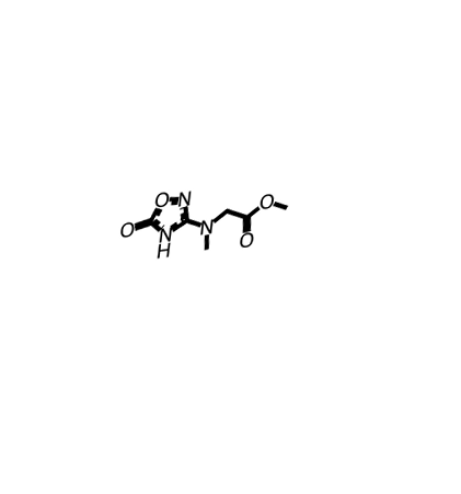 COC(=O)CN(C)c1noc(=O)[nH]1